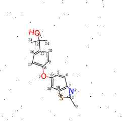 Cc1nc2ccc(Oc3ccc(C(C)(C)O)cc3)cc2s1